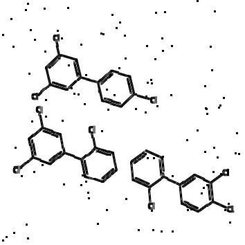 Clc1cc(Cl)cc(-c2ccccc2Cl)c1.Clc1ccc(-c2cc(Cl)cc(Cl)c2)cc1.Clc1ccc(-c2ccccc2Cl)cc1Cl